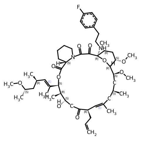 C=CC[C@@H]1/C=C(\C)C[C@H](C)C[C@H](OC)[C@H]2O[C@@](NCCc3ccc(F)cc3)(C(=O)C(=O)N3CCCC[C@H]3C(=O)O[C@H](/C(C)=C/[C@H](C)C[C@H](C)OC)[C@H](C)[C@@H](O)CC1=O)[C@H](C)C[C@@H]2OC